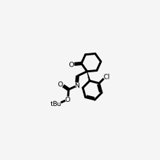 CC(C)(C)OC(=O)/N=C/[C@@]1(C2CC=CC=C2Cl)CCCCC1=O